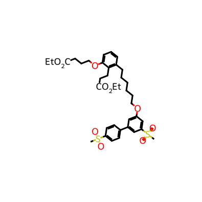 CCOC(=O)CCCOc1cccc(CCCCCCOc2cc(-c3ccc(S(C)(=O)=O)cc3)cc(S(C)(=O)=O)c2)c1CCC(=O)OCC